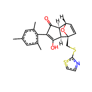 Cc1cc(C)c(C2=C(O)[C@H]3[C@@H](C2=O)[C@@H]2C=C[C@@]3(CSc3nccs3)O2)c(C)c1